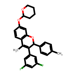 CC1=C(c2cc(F)cc(F)c2)C(c2ccc(C)cc2)Oc2cc(OC3CCCCO3)ccc21